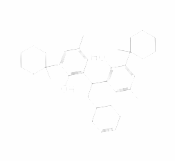 Cc1cc(C(CC2CC=CCC2)c2cc(C)cc(C3(C)CCCCC3)c2O)c(O)c(C2(C)CCCCC2)c1